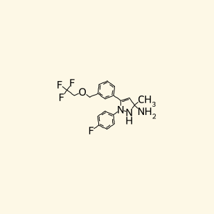 CC1(N)C=C(c2cccc(COCC(F)(F)F)c2)N(c2ccc(F)cc2)N1